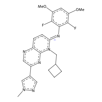 COc1cc(OC)c(F)c(/N=c2\ccc3ncc(-c4cnn(C)c4)nc3n2CC2CCC2)c1F